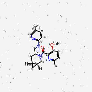 CCCOc1ccc(C)nc1C(=O)N1C[C@@H]2C[C@@H]2C[C@H]1CNc1ccc(C(F)(F)F)cn1